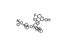 CCc1c(F)ccc2cc(O)cc(-c3cc4c(N5CC6CCC(C5)N6)nc(OC[C@]56CCCN5[C@@H](COC(=O)N(C)C)CC6)cc4o3)c12